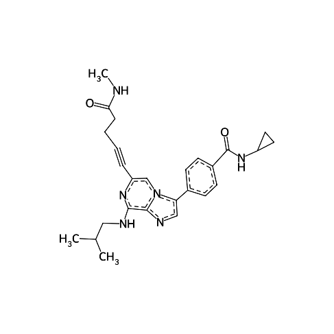 CNC(=O)CCC#Cc1cn2c(-c3ccc(C(=O)NC4CC4)cc3)cnc2c(NCC(C)C)n1